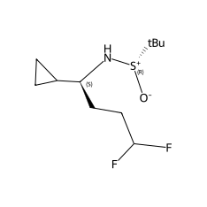 CC(C)(C)[S@+]([O-])N[C@@H](CCC(F)F)C1CC1